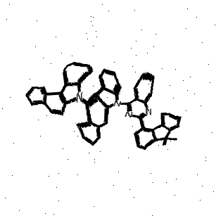 CC1(C)c2ccccc2-c2c(-c3nc(-n4c5ccccc5c5c(-n6c7ccccc7c7c8ccccc8ccc76)c6ccccc6cc54)c4ccccc4n3)cccc21